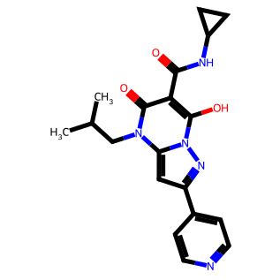 CC(C)Cn1c(=O)c(C(=O)NC2CC2)c(O)n2nc(-c3ccncc3)cc12